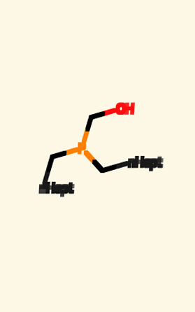 CCCCCCCCP(CO)CCCCCCCC